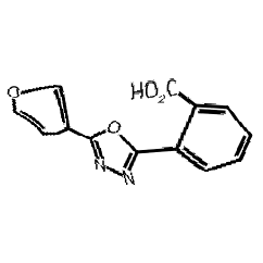 O=C(O)c1ccccc1-c1nnc(-c2ccoc2)o1